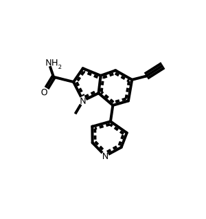 C#Cc1cc(-c2ccncc2)c2c(c1)cc(C(N)=O)n2C